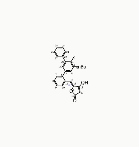 [CH2]c1c(CCCC)cc(-c2ccccc2/C=C2\OC(=O)C=C2O)cc1-c1ccccc1